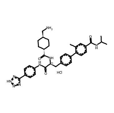 Cc1cc(C(=O)NC(C)C)ccc1-c1ccc(C[C@H](NC(=O)[C@H]2CC[C@H](CN)CC2)C(=O)Nc2ccc(-c3nn[nH]n3)cc2)cc1.Cl